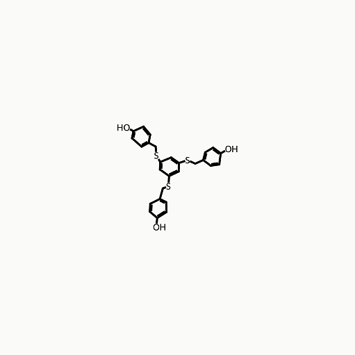 Oc1ccc(CSc2cc(SCc3ccc(O)cc3)cc(SCc3ccc(O)cc3)c2)cc1